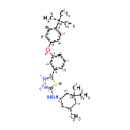 CC1CC(Nc2nnc(-c3cccc(Oc4ccc(C(C)(C)C)cc4)c3)s2)CC(C)(C)C1